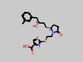 Cc1cccc(C[C@H](O)CC[C@H]2CCC(=O)N2CCSc2nc(C(=O)O)cs2)c1